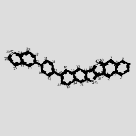 c1ccc2cc3c(cc2c1)sc1c2cc4cc(-c5ccc(-c6ccc7sccc7c6)cc5)ccc4cc2sc31